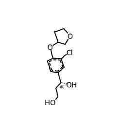 OCC[C@@H](O)c1ccc(OC2CCOC2)c(Cl)c1